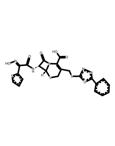 O=C(O)C1=C(CSc2nnc(-c3ccccc3)o2)CS[C@@H]2[C@H](NC(=O)/C(=N/O)c3cccs3)C(=O)N12